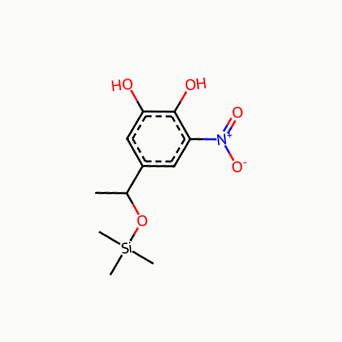 CC(O[Si](C)(C)C)c1cc(O)c(O)c([N+](=O)[O-])c1